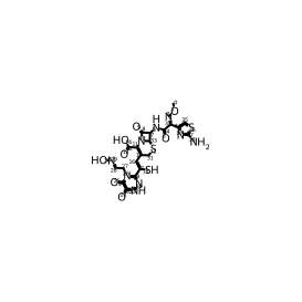 CON=C(C(=O)NC1C(=O)N2C(C(=O)O)=C(C=C(S)c3n[nH]c(=O)c(=O)n3CC=NO)CSC12)c1csc(N)n1